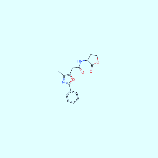 Cc1nc(-c2ccccc2)oc1CC(=O)N[C@H]1CCOC1=O